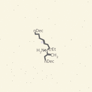 C=C(CCCCCCCCCCC)N(N)[C@@H](CC)C/C=C/CCCCCCCCCCCCC